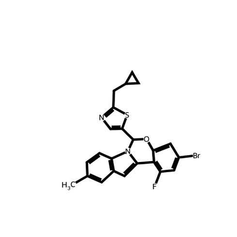 Cc1ccc2c(c1)cc1n2C(c2cnc(CC3CC3)s2)Oc2cc(Br)cc(F)c2-1